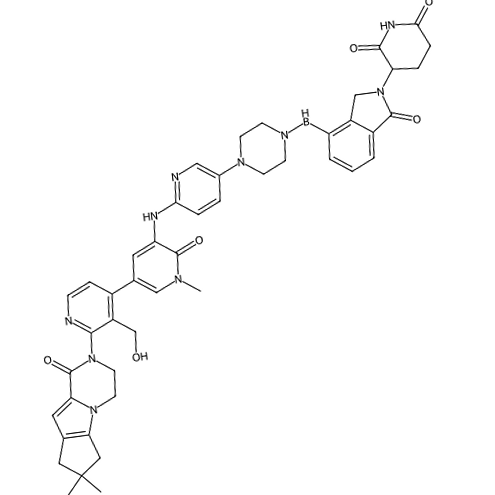 Cn1cc(-c2ccnc(N3CCn4c(cc5c4CC(C)(C)C5)C3=O)c2CO)cc(Nc2ccc(N3CCN(Bc4cccc5c4CN(C4CCC(=O)NC4=O)C5=O)CC3)cn2)c1=O